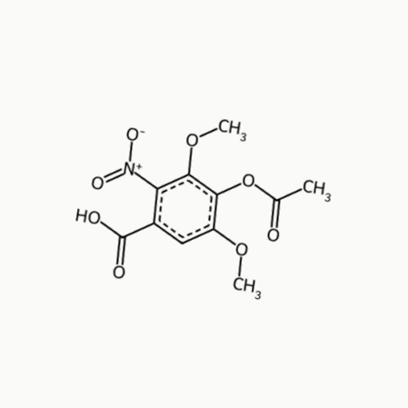 COc1cc(C(=O)O)c([N+](=O)[O-])c(OC)c1OC(C)=O